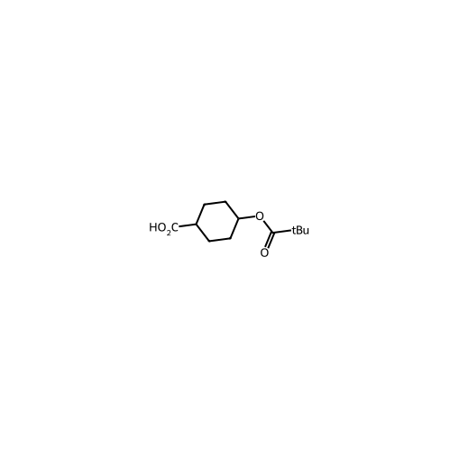 CC(C)(C)C(=O)OC1CCC(C(=O)O)CC1